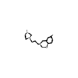 Cc1ccc2c(c1)CN(CCCN1C=CNC1)CO2